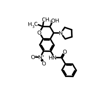 CC1(C)Oc2cc([N+](=O)[O-])c(NC(=O)c3ccccc3)cc2C(N2CCCC2)C1O